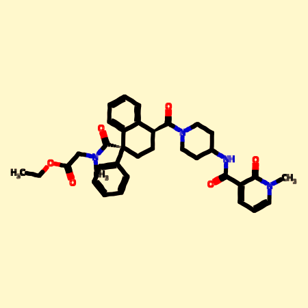 CCOC(=O)CN(C)C(=O)[C@@]1(c2ccccc2)CC[C@H](C(=O)N2CCC(NC(=O)c3cccn(C)c3=O)CC2)c2ccccc21